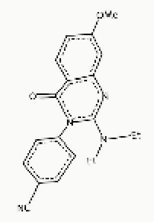 CCN(CC)c1nc2cc(OC)ccc2c(=O)n1-c1ccc(C#N)cc1